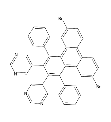 Brc1ccc2c3ccc(Br)cc3c3c(-c4ccccc4)c(-c4cncnc4)c(-c4cncnc4)c(-c4ccccc4)c3c2c1